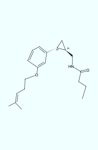 CCCC(=O)NC[C@@H]1C[C@H]1c1cccc(OCCC=C(C)C)c1